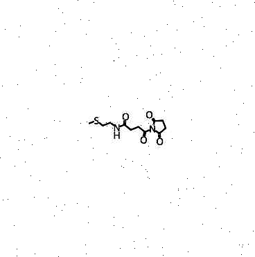 CSCCNC(=O)CCC(=O)N1C(=O)CCC1=O